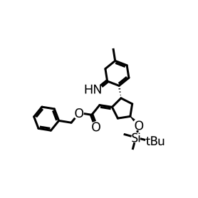 CC1=CC=C([C@@H]2C[C@@H](O[Si](C)(C)C(C)(C)C)C/C2=C\C(=O)OCc2ccccc2)C(=N)C1